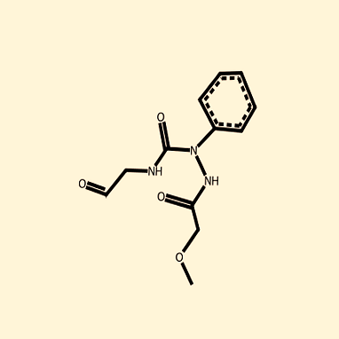 COCC(=O)NN(C(=O)NC[C]=O)c1ccccc1